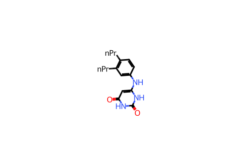 CCCc1ccc(Nc2cc(=O)[nH]c(=O)[nH]2)cc1CCC